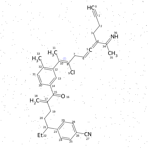 C#CCCC(=C=CC/C(Cl)=C(\C)c1cc(C(=O)C(=C)CCC(CC)c2ccc(C#N)cc2)ccc1C)C(C)=N